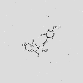 Cl.O=C(O)c1ccc(C#CCN2C[C@@H]3CNCCN3C2=O)c(F)c1